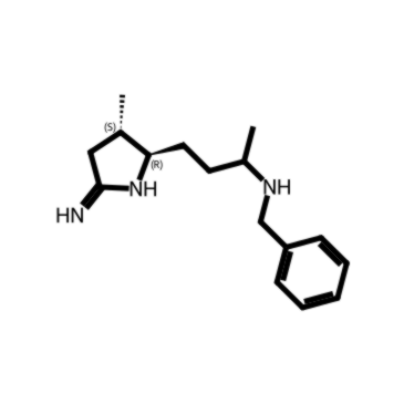 CC(CC[C@H]1NC(=N)C[C@@H]1C)NCc1ccccc1